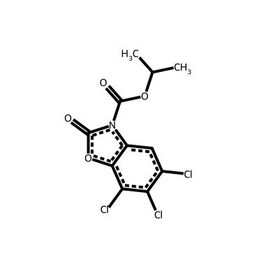 CC(C)OC(=O)n1c(=O)oc2c(Cl)c(Cl)c(Cl)cc21